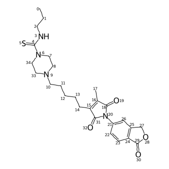 CCCNC(=S)N1CCN(CCCCCC2=C(C)C(=O)N(c3ccc4c(c3)COC4=O)C2=O)CC1